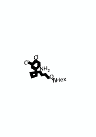 CCCCCCOCCCC(N)C1(c2ccc(Cl)c(Cl)c2)CCC1